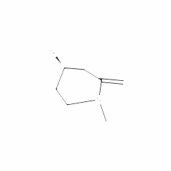 CN1CC[C@@H](N)CC1=O